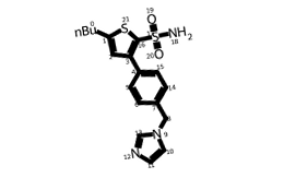 CCCCc1cc(-c2ccc(Cn3ccnc3)cc2)c(S(N)(=O)=O)s1